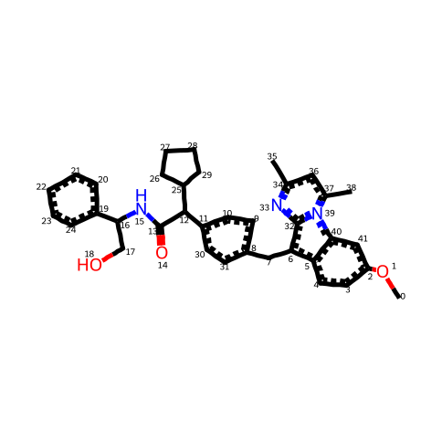 COc1ccc2c(Cc3ccc(C(C(=O)NC(CO)c4ccccc4)C4CCCC4)cc3)c3nc(C)cc(C)n3c2c1